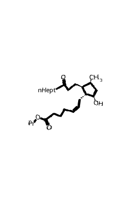 CCCCCCCC(=O)CC[C@@H]1[C@@H](C/C=C\CCCC(=O)OC(C)C)[C@@H](O)C[C@H]1C